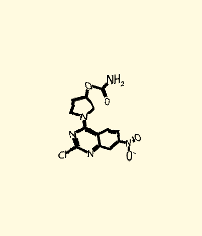 NC(=O)OC1CCN(c2nc(Cl)nc3cc([N+](=O)[O-])ccc23)C1